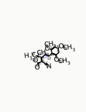 COC1=CC(OC)CC(OC)=C1/C=C/C1=C(C#N)C(=O)OC1(C)C